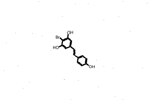 Oc1ccc(C=Cc2cc(O)c(Br)c(O)c2)cc1